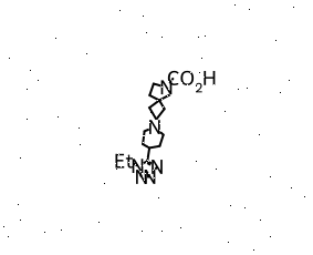 CCn1nnnc1C1CCN(C2CC3(CCN(C(=O)O)C3)C2)CC1